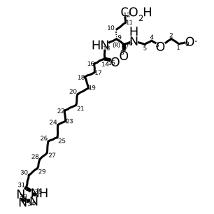 [O]CCOCCNC(=O)[C@@H](CCC(=O)O)NC(=O)CCCCCCCCCCCCCCCc1nnn[nH]1